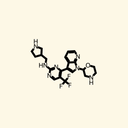 FC(F)(F)c1cnc(NCC2CCNC2)nc1-c1cn(C2CNCCO2)c2ncccc12